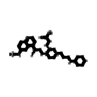 COc1ccc2nccc([C@H](F)CC[C@@H]3CCN(CCCSC4CCCCC4)C[C@H]3CCC(=O)O)c2c1